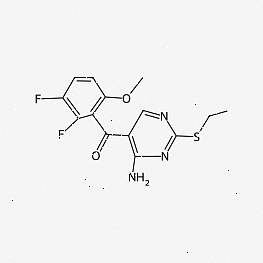 CCSc1ncc(C(=O)c2c(OC)ccc(F)c2F)c(N)n1